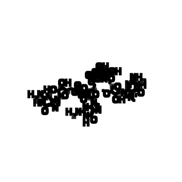 COC1C(O)[C@@H](n2c[n+](C)c3c(=O)[nH]c(N)nc32)O[C@H]1COP(=O)(O)OP(=O)(O)OP(=O)(O)OC[C@H]1O[C@@H](n2cnc3c(=O)[nH]c(N)nc32)[C@@H](OC)[C@H]1OP(=O)(O)OC[C@H]1O[C@@H](n2cnc3c(=O)[nH]c(N)nc32)C(O)[C@H]1O